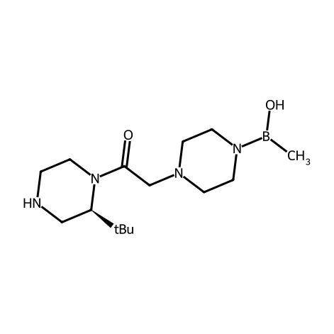 CB(O)N1CCN(CC(=O)N2CCNC[C@@H]2C(C)(C)C)CC1